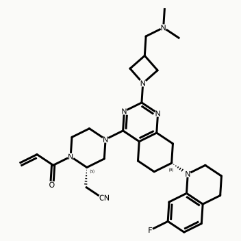 C=CC(=O)N1CCN(c2nc(N3CC(CN(C)C)C3)nc3c2CC[C@@H](N2CCCc4ccc(F)cc42)C3)C[C@@H]1CC#N